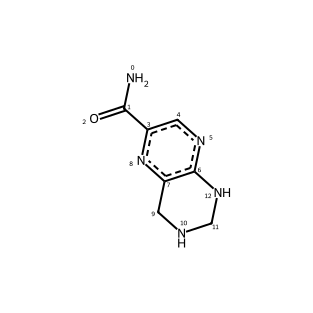 NC(=O)c1cnc2c(n1)CNCN2